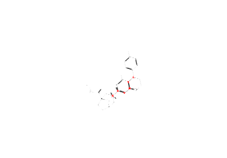 O=C(CN1CCCCC1)N1CC2CCC(C(=O)NO)(C1)N2S(=O)(=O)c1cc(F)c(Oc2ccc(Cl)cc2)c(F)c1